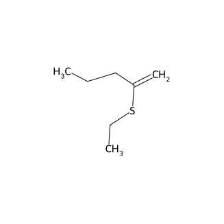 C=C(CCC)SCC